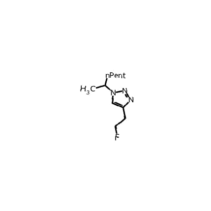 CCCCCC(C)n1cc(CCF)nn1